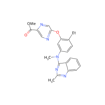 CCc1ccc(N(C)c2nc(C)nc3ccccc23)cc1Oc1cnc(C(=O)OC)cn1